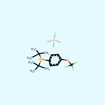 CC(C)(C)[PH+](c1ccc(OC(F)(F)F)cc1)C(C)(C)C.F[B-](F)(F)F